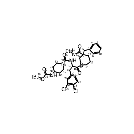 CCNC(=O)[C@]1(Cc2ccccc2)CCCN(C(=O)[C@@H](Cc2ccc(Cl)c(Cl)c2)NC(=O)N2CCC(NC(=O)OC(C)(C)C)CC2)C1